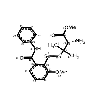 COC(=O)[C@H](N)C(C)(C)S[Se]c1c(OC)cccc1C(=O)Nc1ccccc1